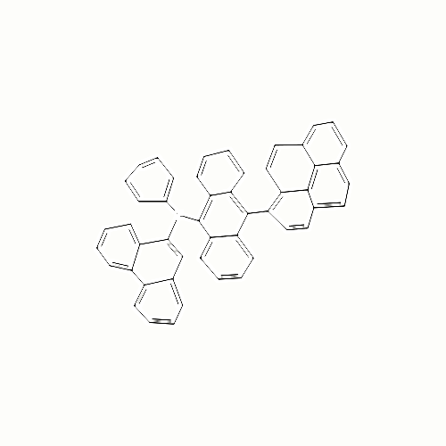 c1ccc(N(c2c3ccccc3c(-c3ccc4ccc5cccc6ccc3c4c56)c3ccccc23)c2cc3ccccc3c3ccccc23)cc1